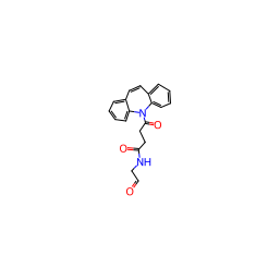 O=CCNC(=O)CCC(=O)N1c2ccccc2C=Cc2ccccc21